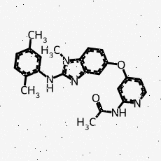 CC(=O)Nc1cc(Oc2ccc3c(c2)nc(Nc2cc(C)ccc2C)n3C)ccn1